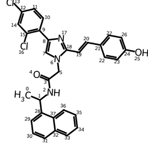 CC(NC(=O)Cn1cc(-c2ccc(Cl)cc2Cl)nc1C=Cc1ccc(O)cc1)c1cccc2ccccc12